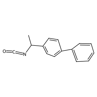 CC(N=C=O)c1ccc(-c2ccccc2)cc1